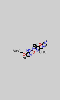 COCCOc1cc(NC(=O)N2c3nc(C=O)c(CN4CCN(C)CC4=O)cc3C3(F)CC2C3)ncc1C#N